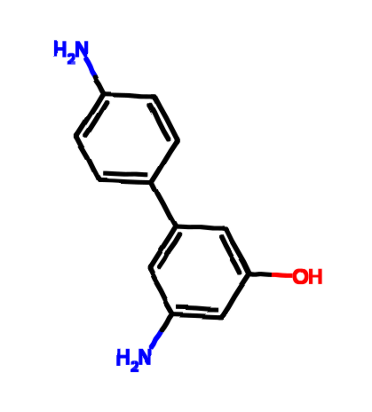 Nc1ccc(-c2cc(N)cc(O)c2)cc1